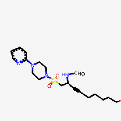 O=CNC(C#CCCCCCO)CS(=O)(=O)N1CCN(c2ccccn2)CC1